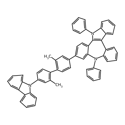 Cc1cc(-c2ccc3c(c2)N(c2ccccc2)c2ccccc2-c2c-3n(-c3ccccc3)c3ccccc23)ccc1-c1ccc(-n2c3ccccc3c3ccccc32)cc1C